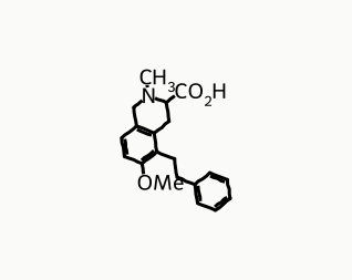 COc1ccc2c(c1CCc1ccccc1)CC(C(=O)O)N(C)C2